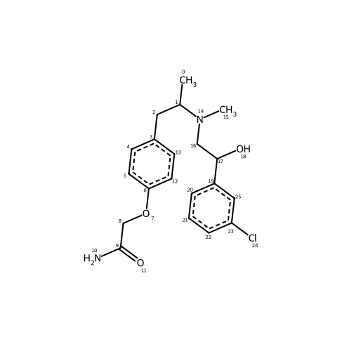 CC(Cc1ccc(OCC(N)=O)cc1)N(C)CC(O)c1cccc(Cl)c1